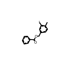 Cc1ccc(COC(=O)c2ccccc2)cc1I